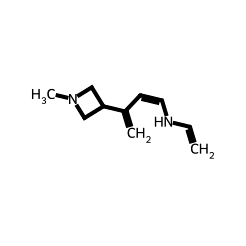 C=CN/C=C\C(=C)C1CN(C)C1